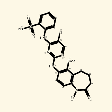 CCCS(=O)(=O)c1ccccc1Nc1nc(Nc2ccc3c(c2OC)CCCC(=O)N3CC)ncc1Cl